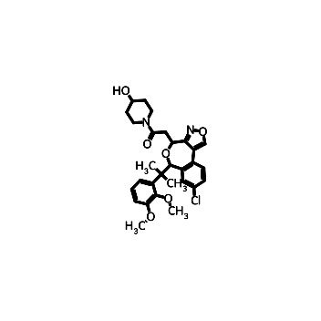 COc1cccc(C(C)(C)C2OC(CC(=O)N3CCC(O)CC3)c3nocc3-c3ccc(Cl)cc32)c1OC